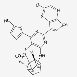 CCOC(=O)[C@@H]1C2CCC(CC2)[C@H]1Nc1nc(-c2c[nH]c3ncc(Cl)nc23)nc(-c2ccc(C#N)s2)c1F